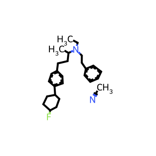 CC#N.CCN(CCc1ccccc1)C(C)CCc1ccc(C2CCC(F)CC2)cc1